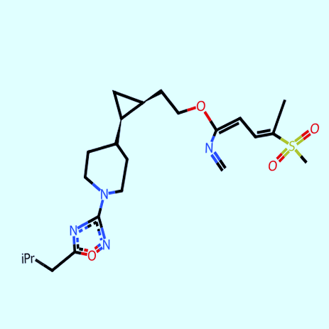 C=N/C(=C\C=C(/C)S(C)(=O)=O)OCC[C@@H]1C[C@@H]1C1CCN(c2noc(CC(C)C)n2)CC1